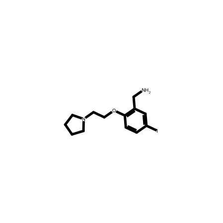 NCc1cc(I)ccc1OCCN1CCCC1